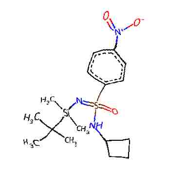 CC(C)(C)[Si](C)(C)N=S(=O)(NC1CCC1)c1ccc([N+](=O)[O-])cc1